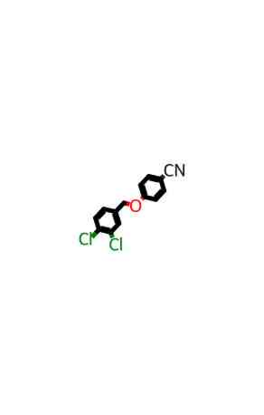 N#Cc1ccc(OCc2ccc(Cl)c(Cl)c2)cc1